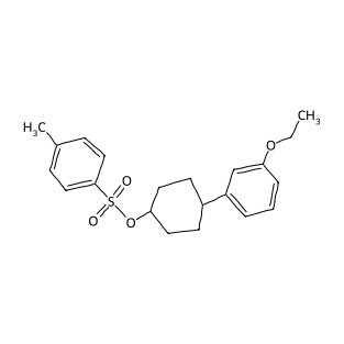 CCOc1cccc(C2CCC(OS(=O)(=O)c3ccc(C)cc3)CC2)c1